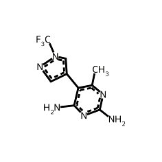 Cc1nc(N)nc(N)c1-c1cnn(C(F)(F)F)c1